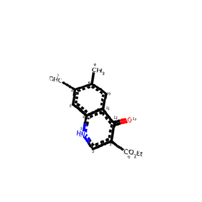 CCOC(=O)c1c[nH]c2cc(C=O)c(C)cc2c1=O